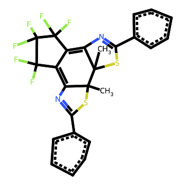 CC12SC(c3ccccc3)=NC1=C1C(=C3N=C(c4ccccc4)SC32C)C(F)(F)C(F)(F)C1(F)F